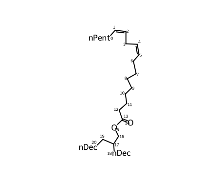 CCCCC/C=C\C/C=C\CCCCCCCC(=O)OCC(CCCCCCCCCC)CCCCCCCCCCC